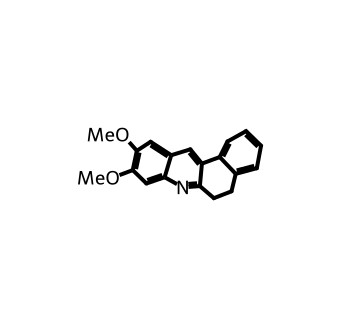 COc1cc2cc3c(nc2cc1OC)CCc1ccccc1-3